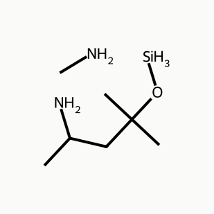 CC(N)CC(C)(C)O[SiH3].CN